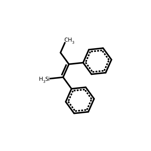 CCC(=C([SiH3])c1ccccc1)c1ccccc1